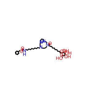 O=C(NCCCCCCCCCCN1CCCCN(C(=O)CCCCCCCCC[C@]2(O)O[C@H](CO)[C@@H](O)[C@H](O)[C@H]2O)CCN2CCCN(CC1)C2)OCc1ccccc1